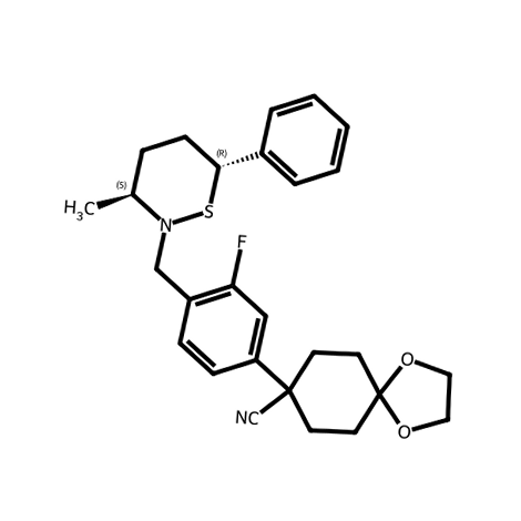 C[C@H]1CC[C@H](c2ccccc2)SN1Cc1ccc(C2(C#N)CCC3(CC2)OCCO3)cc1F